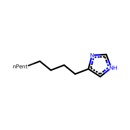 CCCCCCCCCc1c[nH]cn1